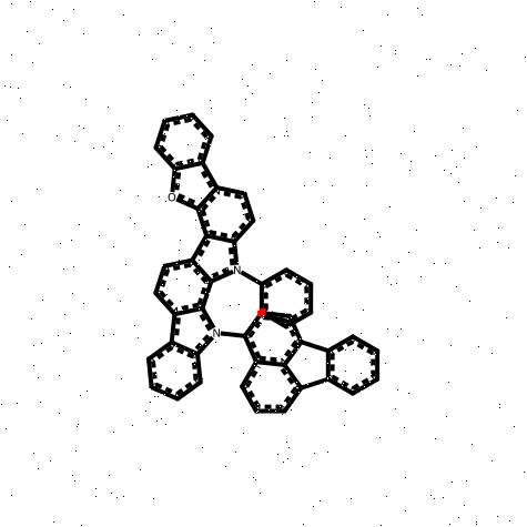 c1ccc(-n2c3ccc4c5ccccc5oc4c3c3ccc4c5ccccc5n(-c5ccc6c7c(cccc57)-c5ccccc5-6)c4c32)cc1